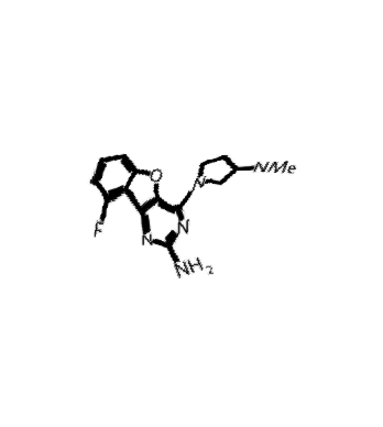 CNC1CCN(c2nc(N)nc3c2oc2cccc(F)c23)C1